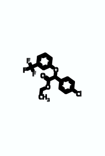 CCOC(=O)C(Oc1cccc(C(F)(F)F)c1)c1ccc(Cl)cc1